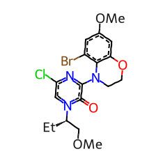 CC[C@H](COC)n1cc(Cl)nc(N2CCOc3cc(OC)cc(Br)c32)c1=O